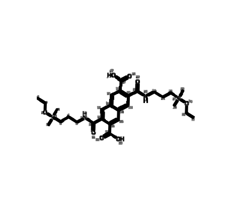 CCO[Si](C)(C)CCCNC(=O)c1cc2cc(C(=O)O)c(C(=O)NCCC[Si](C)(C)OCC)cc2cc1C(=O)O